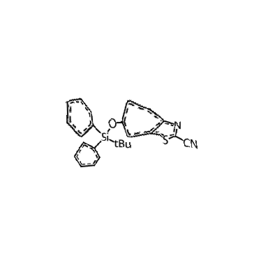 CC(C)(C)[Si](Oc1ccc2nc(C#N)sc2c1)(c1ccccc1)c1ccccc1